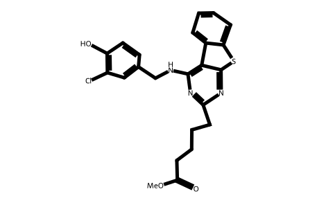 COC(=O)CCCCc1nc(NCc2ccc(O)c(Cl)c2)c2c(n1)sc1ccccc12